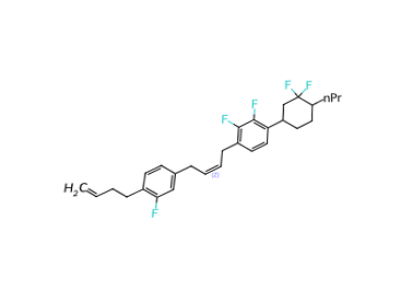 C=CCCc1ccc(C/C=C\Cc2ccc(C3CCC(CCC)C(F)(F)C3)c(F)c2F)cc1F